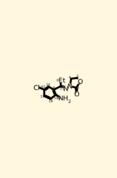 CC/C(=N\N1CCOC1=O)c1cc(Cl)ccc1N